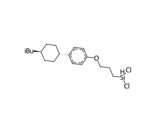 CCC(C)[C@H]1CC[C@H](c2ccc(OCCC[SiH](Cl)Cl)cc2)CC1